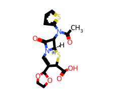 CC(=O)N(c1cccs1)C1C(=O)N2C=C(C3OCCO3)C(C(=O)O)S[C@H]12